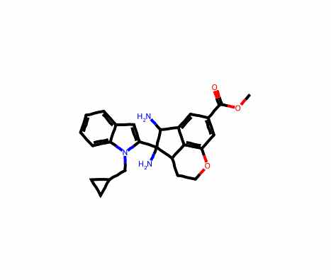 COC(=O)c1cc2c3c(c1)C(N)C(N)(c1cc4ccccc4n1CC1CC1)C3CCO2